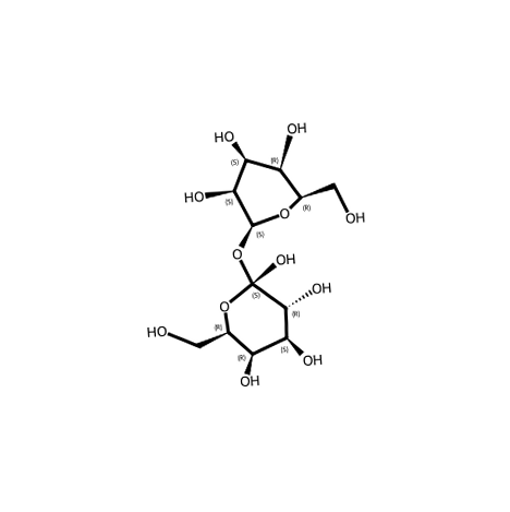 OC[C@H]1O[C@@H](O[C@@]2(O)O[C@H](CO)[C@H](O)[C@H](O)[C@H]2O)[C@@H](O)[C@@H](O)[C@H]1O